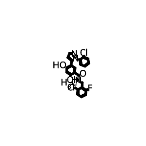 CN(Cc1c(F)cccc1Cl)C(=O)c1cc(-c2ccnn2-c2ccccc2Cl)c(O)cc1O